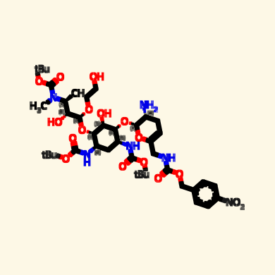 C[C@@H]([C@@H](O)[C@H](OCCO)O[C@@H]1[C@@H](O)[C@H](O[C@H]2OC(CNC(=O)OCc3ccc([N+](=O)[O-])cc3)=CC[C@H]2N)[C@@H](NC(=O)OC(C)(C)C)C[C@H]1NC(=O)OC(C)(C)C)N(C)C(=O)OC(C)(C)C